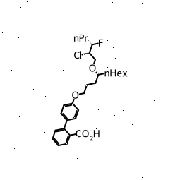 CCCCCCC(CCCOc1ccc(-c2ccccc2C(=O)O)cc1)OC[C@@H](Cl)[C@@H](F)CCC